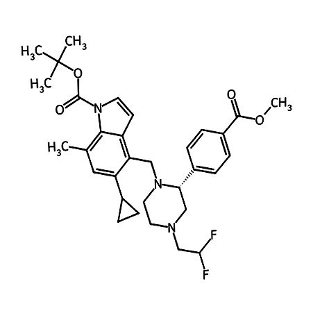 COC(=O)c1ccc([C@@H]2CN(CC(F)F)CCN2Cc2c(C3CC3)cc(C)c3c2ccn3C(=O)OC(C)(C)C)cc1